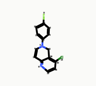 Fc1ccc(N2C=Cc3nccc(Cl)c3C2)cc1